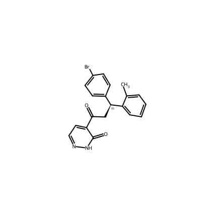 Cc1ccccc1[C@@H](CC(=O)c1ccn[nH]c1=O)c1ccc(Br)cc1